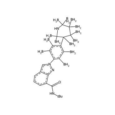 Bc1c(B)c(C2(B)C(B)(B)NC(B)(B)C(B)(B)C2(B)B)c(B)c(B)c1-n1cc2cccc(C(=O)NC(C)(C)C)c2n1